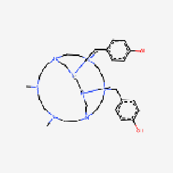 CN1CCN(C)CCN2CCN(C)CCN(Cc3ccc(O)cc3)CCN(CC1)CCN(C)CCN(Cc1ccc(O)cc1)CC2